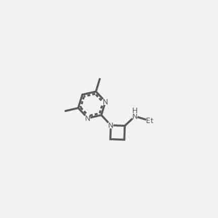 CCNC1CCN1c1nc(C)cc(C)n1